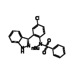 CCCCN(c1ccc(Cl)cc1-c1n[nH]c2ccccc12)S(=O)(=O)c1ccccc1